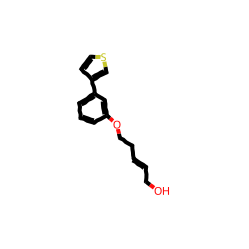 OC/C=C/CCOc1cccc(-c2ccsc2)c1